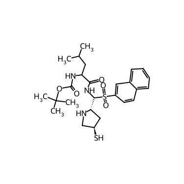 CC(C)CC(NC(=O)OC(C)(C)C)C(=O)NC([C@@H]1C[C@@H](S)CN1)S(=O)(=O)c1ccc2ccccc2c1